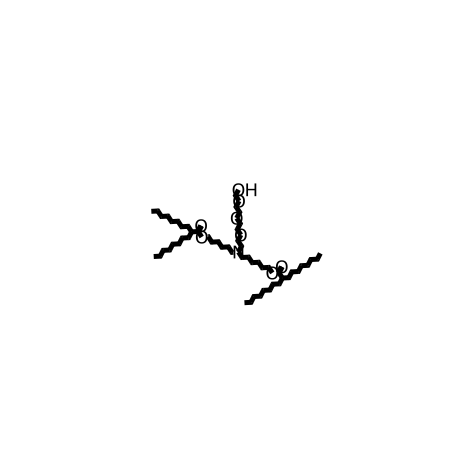 CCCCCCCCC(CCCCCCCC)C(=O)OCCCCCCN(CCCCCCOC(=O)C(CCCCCCCC)CCCCCCCC)CCOCCOCCOCO